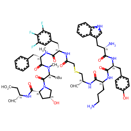 CCCC[C@@H](C(=O)N1C[C@H](O)C[C@@H]1C(=O)N[C@H](C=O)CC(=O)O)N(C)C(=O)[C@H](Cc1ccccc1)N(C)C(=O)[C@H](Cc1cc(F)c(F)c(F)c1)NC(=O)CSC[C@@H](C=O)NC(=O)[C@H](CCCN)NC(=O)[C@H](Cc1ccc(O)cc1)NC(=O)[C@@H](N)Cc1c[nH]c2ccccc12